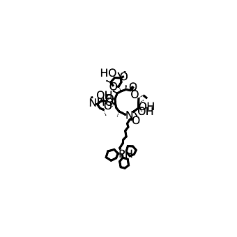 CC[C@H]1OC(=O)[C@H](C)C([C@H]2C[C@@](C)(OC)[C@@H](O)[C@H](C)O2)[C@H](C)[C@@H](O[C@@H]2O[C@H](C)C[C@H](N(C)C)[C@H]2O)[C@](C)(O)C[C@@H](C)CN(C(=O)CCCCCCC[PH](C2CCCCC2)(C2CCCCC2)C2CCCCC2)[C@H](C)[C@@H](O)[C@]1(C)O